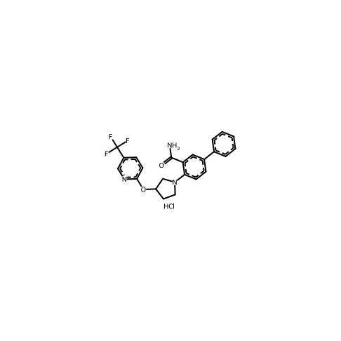 Cl.NC(=O)c1cc(-c2ccccc2)ccc1N1CCC(Oc2ccc(C(F)(F)F)cn2)C1